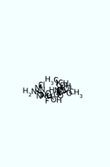 COC(=O)COP(=O)(N[C@@H](CC(C)C)C(=O)O)OC[C@H]1O[C@@H](n2cnc3c(N)nc(Cl)nc32)[C@@H](F)[C@@H]1O